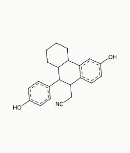 N#CCC1c2ccc(O)cc2C2CCCCC2C1c1ccc(O)cc1